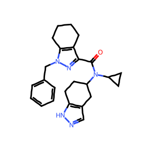 O=C(c1nn(Cc2ccccc2)c2c1CCCC2)N(C1CC1)C1CCc2[nH]ncc2C1